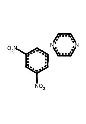 O=[N+]([O-])c1cccc([N+](=O)[O-])c1.c1cnccn1